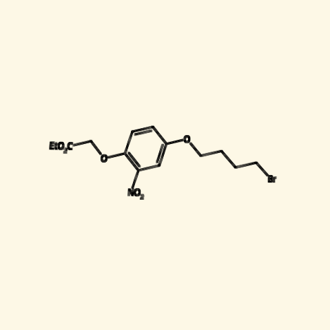 CCOC(=O)COc1ccc(OCCCCBr)cc1[N+](=O)[O-]